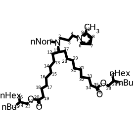 CCCCCCCCCN(CCCn1cccc1C)C(CCCCCCCCC(=O)OCC(CCCC)CCCCCC)CCCCCCCCC(=O)OCC(CCCC)CCCCCC